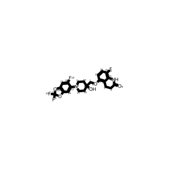 O=C1CCc2c(OCC3(O)CCN(c4cc5c(cc4F)OC(F)(F)O5)CC3)ccc(F)c2N1